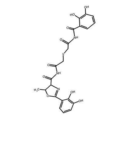 CC1OC(c2cccc(O)c2O)=NC1C(=O)NC(=O)CSCC(=O)NC(=O)c1cccc(O)c1O